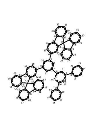 c1ccc(-c2cc(-c3cc(-c4ccc5c(c4)C4(c6ccccc6-c6ccccc64)c4ccccc4-5)cc(-c4ccc5c(c4)C4(c6ccccc6-c6ccccc64)c4ccccc4-5)c3)nc(-c3ccccc3)n2)cc1